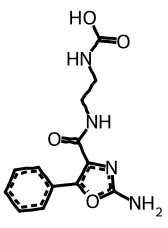 Nc1nc(C(=O)NCCNC(=O)O)c(-c2ccccc2)o1